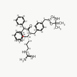 CC1(C)NON(Cc2ccc(CN(C(=O)C(c3ccccc3)c3ccccc3)[C@H](CCCNC(=N)N)C(N)=O)cc2)O1